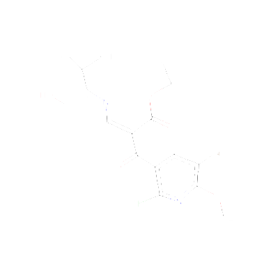 CCOC(=O)/C(=C\N[C@H](CO)C(C)C)C(=O)c1cc(Br)c(OC)nc1Cl